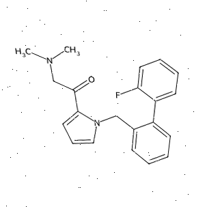 CN(C)CC(=O)c1cccn1Cc1ccccc1-c1ccccc1F